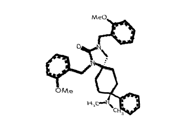 COc1ccccc1CN1C[C@]2(CC[C@](c3ccccc3)(N(C)C)CC2)N(Cc2ccccc2OC)C1=O